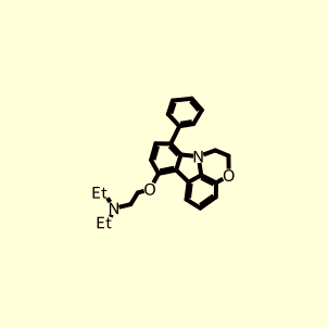 CCN(CC)CCOc1ccc(-c2ccccc2)c2c1c1cccc3c1n2CCO3